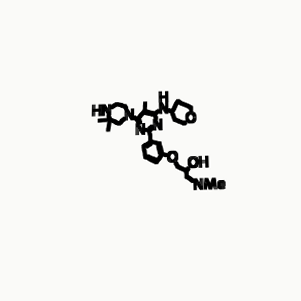 CNCC(O)COc1cccc(-c2nc(NC3CCOCC3)c(C)c(N3CCNC(C)(C)C3)n2)c1